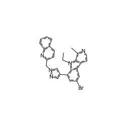 CCn1c2c(-c3cnn(Cc4ccc5ccccc5n4)c3)cc(Br)cc2c2ccnc(C)c21